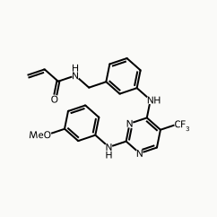 C=CC(=O)NCc1cccc(Nc2nc(Nc3cccc(OC)c3)ncc2C(F)(F)F)c1